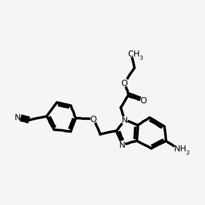 CCOC(=O)Cn1c(COc2ccc(C#N)cc2)nc2cc(N)ccc21